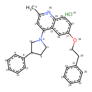 Cc1cc(N2CCC(c3ccccc3)C2)c2cc(OCCc3ccccc3)ccc2n1.Cl